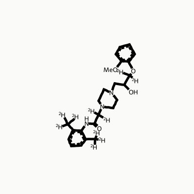 [2H]C([2H])([2H])c1cccc(C([2H])([2H])[2H])c1NC(=O)C([2H])([2H])N1CCN(CC(O)C([2H])([2H])Oc2ccccc2OC)CC1